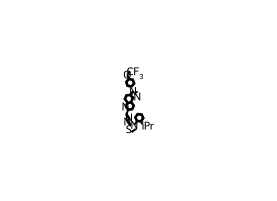 CC(C)c1ccccc1N1CCS/C1=N/N=C/c1ccc2c(ccc3c2ncn3-c2ccc(OC(F)(F)F)cc2)n1